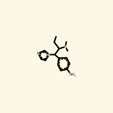 CCC(C(c1ccc(N)cc1)n1ccnc1)N(C)C